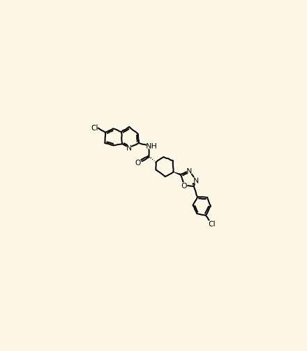 O=C(Nc1ccc2cc(Cl)ccc2n1)[C@H]1CC[C@H](c2nnc(-c3ccc(Cl)cc3)o2)CC1